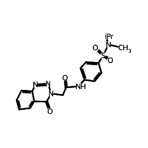 CC(C)N(C)S(=O)(=O)c1ccc(NC(=O)Cn2nnc3ccccc3c2=O)cc1